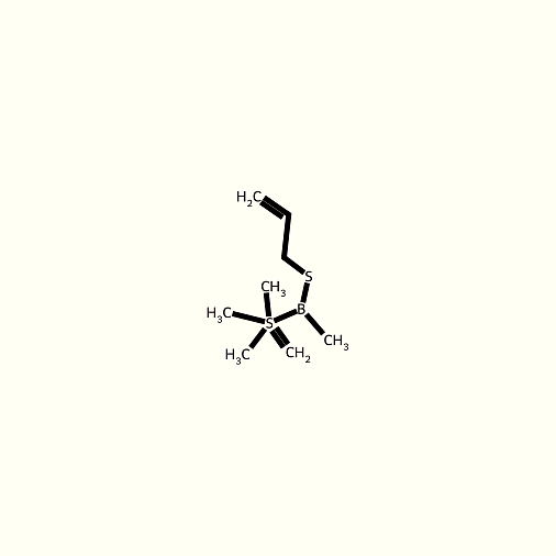 C=CCSB(C)S(=C)(C)(C)C